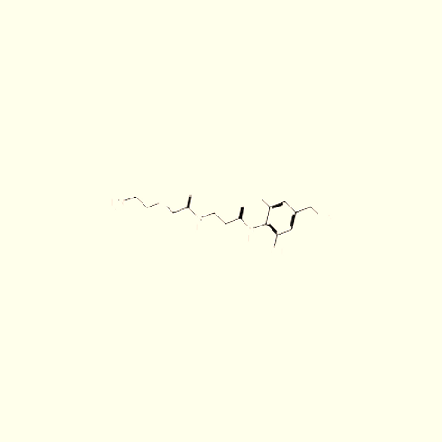 CC(=O)OCc1cc(C)c(NC(=O)CCNC(=O)COCCN)c(C)c1